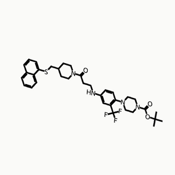 CC(C)(C)OC(=O)N1CCN(c2ccc(NCCC(=O)N3CCC(CSc4cccc5ccccc45)CC3)cc2C(F)(F)F)CC1